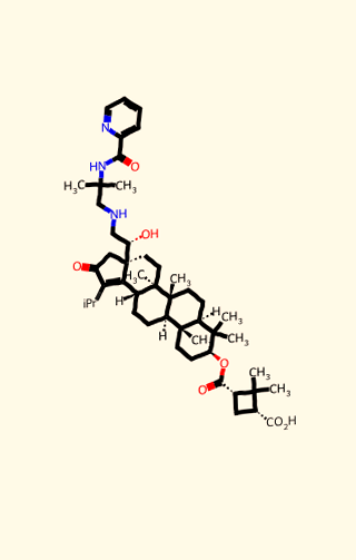 CC(C)C1=C2[C@H]3CC[C@@H]4[C@@]5(C)CC[C@H](OC(=O)[C@H]6C[C@@H](C(=O)O)C6(C)C)C(C)(C)[C@@H]5CC[C@@]4(C)[C@]3(C)CC[C@@]2([C@@H](O)CNCC(C)(C)NC(=O)c2ccccn2)CC1=O